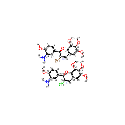 COc1ccc(C(=O)/C(Br)=C\c2cc(OC)c(OC)c(OC)c2)cc1N(C)C.COc1ccc(C(=O)/C(Cl)=C\c2cc(OC)c(OC)c(OC)c2)cc1N(C)C